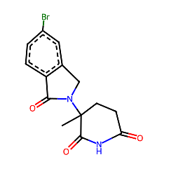 CC1(N2Cc3cc(Br)ccc3C2=O)CCC(=O)NC1=O